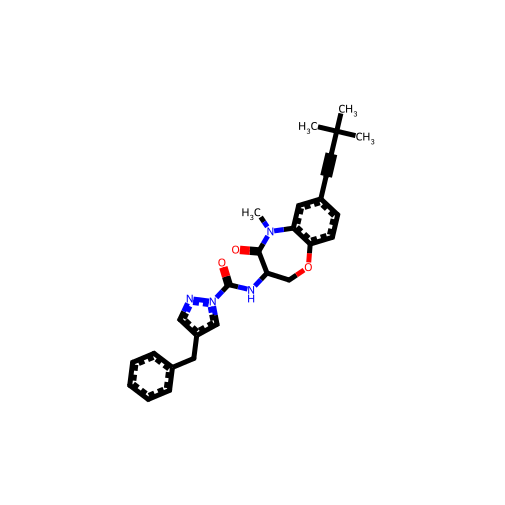 CN1C(=O)C(NC(=O)n2cc(Cc3ccccc3)cn2)COc2ccc(C#CC(C)(C)C)cc21